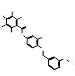 Bc1c(Br)c(B)c(C(=O)Nc2ccc(OCc3cccc(OC(F)(F)F)c3)c(Cl)c2)c(C(=O)O)c1Br